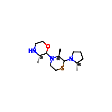 C[C@@H]1NCCOC1N1CCSC(N2CCC[C@@H]2C)[C@@H]1C